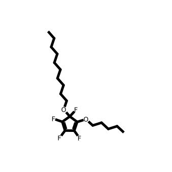 CCCCCCCCCCOC1(F)C(F)=C(F)C(F)=C1OCCCCC